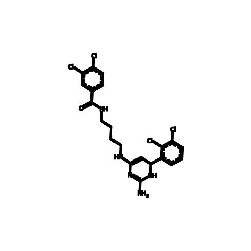 NC1=NC(NCCCCNC(=O)c2ccc(Cl)c(Cl)c2)=CC(c2cccc(Cl)c2Cl)N1